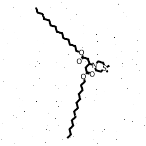 CCCCCCCCCCCCCCOC(=O)CC(CC(=O)OCCCCCCCCCCCCCC)N1CCS(C)(C)CC1